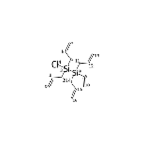 C=CC[Si](Cl)(CC=C)[Si](C=C)(CC=C)CC=C